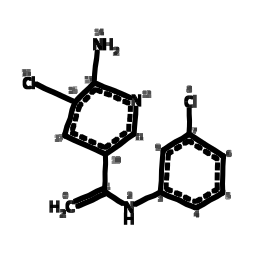 C=C(Nc1cccc(Cl)c1)c1cnc(N)c(Cl)c1